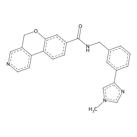 Cn1cnc(-c2cccc(CNC(=O)c3ccc4c(c3)OCc3cnccc3-4)c2)c1